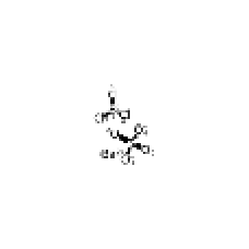 O=S(=O)([O-])[O-].[Ba+2].[Cl][Bi]([Cl])[Cl]